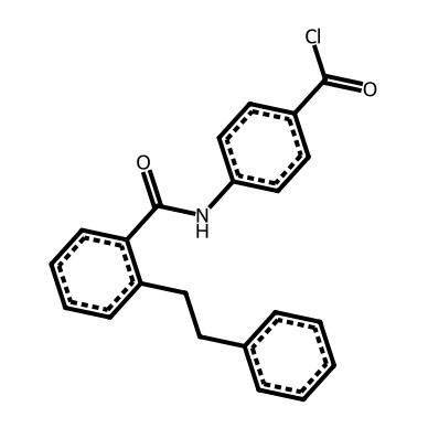 O=C(Cl)c1ccc(NC(=O)c2ccccc2CCc2ccccc2)cc1